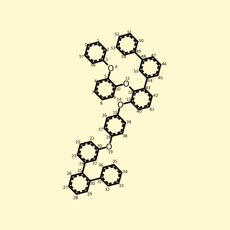 c1ccc(Oc2ccccc2Oc2c(Oc3ccc(Oc4cccc(-c5ccccc5-c5ccccc5)c4)cc3)cccc2-c2cccc(-c3ccccc3)c2)cc1